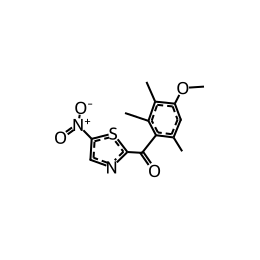 COc1cc(C)c(C(=O)c2ncc([N+](=O)[O-])s2)c(C)c1C